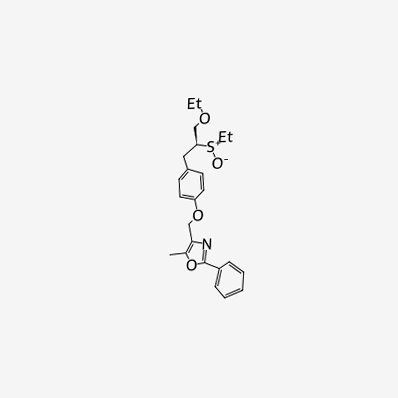 CCOC[C@H](Cc1ccc(OCc2nc(-c3ccccc3)oc2C)cc1)[S+]([O-])CC